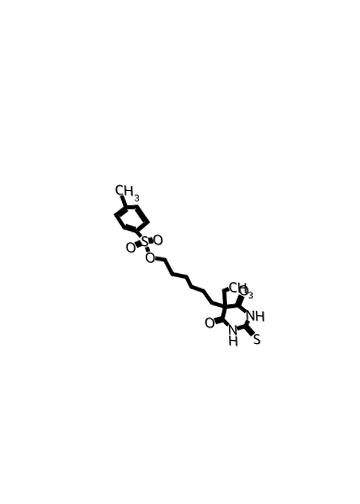 CCC1(CCCCCCOS(=O)(=O)c2ccc(C)cc2)C(=O)NC(=S)NC1=O